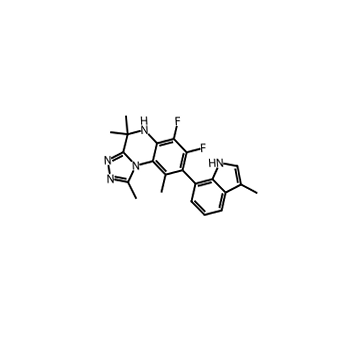 Cc1c(-c2cccc3c(C)c[nH]c23)c(F)c(F)c2c1-n1c(C)nnc1C(C)(C)N2